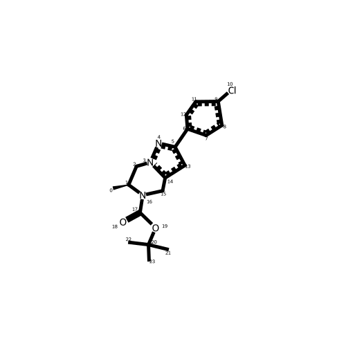 C[C@H]1Cn2nc(-c3ccc(Cl)cc3)cc2CN1C(=O)OC(C)(C)C